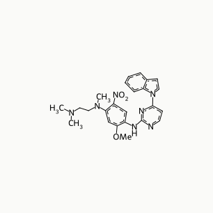 COc1cc(N(C)CCN(C)C)c([N+](=O)[O-])cc1Nc1nccc(-n2ccc3ccccc32)n1